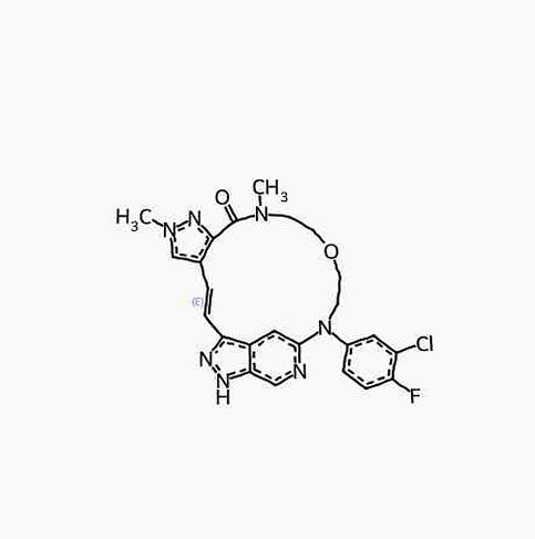 CN1CCOCCN(c2ccc(F)c(Cl)c2)c2cc3c(n[nH]c3cn2)/C=C/c2cn(C)nc2C1=O